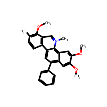 COc1cc2c(-c3ccccc3)cc3c4ccc(C)c(OC)c4c[n+](C)c3c2cc1OC